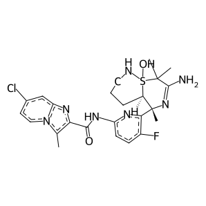 Cc1c(C(=O)Nc2ccc(F)c([C@@]3(C)N=C(N)C(C)(C)S4(O)NCCC[C@H]34)n2)nc2cc(Cl)ccn12